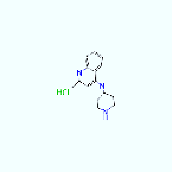 Cc1cc(NC2CCNCC2)c2ccccc2n1.Cl